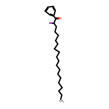 CCCCCCCCCCCCCCCCCCC(I)C(=O)c1ccccc1